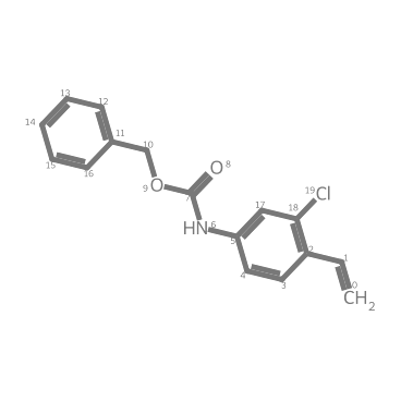 C=Cc1ccc(NC(=O)OCc2ccccc2)cc1Cl